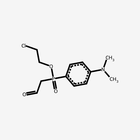 CN(C)c1ccc(P(=O)(CC=O)OCCCl)cc1